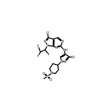 CS(=O)(=O)N1CCC(n2cc(Nc3ncc4c(Cl)nn(C(F)C(F)F)c4n3)c(Cl)n2)CC1